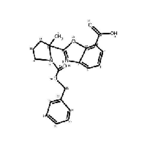 CC1(c2nc3cccc(C(=O)O)c3o2)CCCN1C(=O)OCc1ccccc1